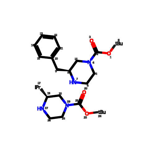 CC(C)(C)OC(=O)N1CCN[C@@H](Cc2ccccc2)C1.CC(C)[C@H]1CN(C(=O)OC(C)(C)C)CCN1